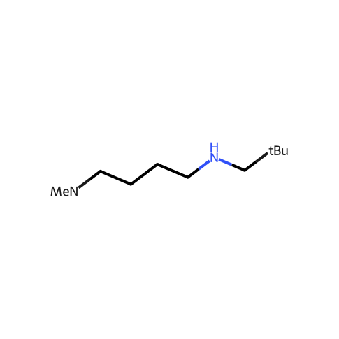 CNCCCCNCC(C)(C)C